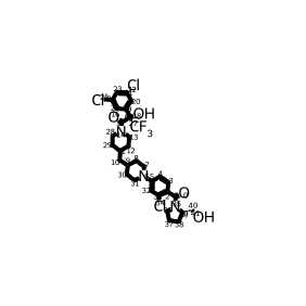 O=C(c1ccc(N2CCC(CC3CCN(C(=O)[C@](O)(c4cc(Cl)cc(Cl)c4)C(F)(F)F)CC3)CC2)cc1Cl)N1CCC[C@H]1CO